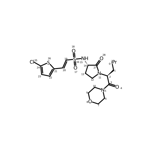 CC(C)C[C@@H](C(=O)N1CCOCC1)N1CC[C@H](NS(=O)(=O)C=Cc2ccc(Cl)s2)C1=O